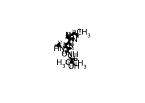 Cc1cnn2c(-c3cc(NC4CC4)c(C(=O)NCC(F)C(C)(C)O)cn3)cnc2c1